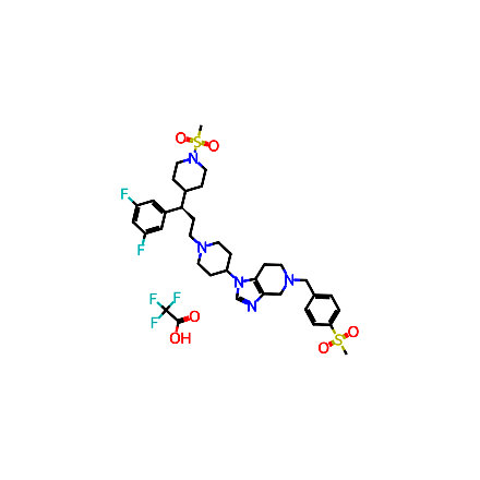 CS(=O)(=O)c1ccc(CN2CCc3c(ncn3C3CCN(CC[C@@H](c4cc(F)cc(F)c4)C4CCN(S(C)(=O)=O)CC4)CC3)C2)cc1.O=C(O)C(F)(F)F